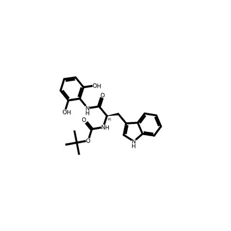 CC(C)(C)OC(=O)N[C@H](Cc1c[nH]c2ccccc12)C(=O)Nc1c(O)cccc1O